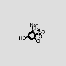 O=S(=O)([O-])c1c(Cl)cc(O)cc1Cl.[Na+]